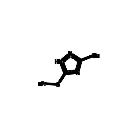 CCCSc1nc(C(C)CC)n[nH]1